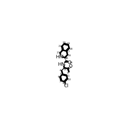 CC(=O)[C@@H](Cc1ccc(Cl)cc1)NC(=O)[C@H]1Cc2ccccc2CN1